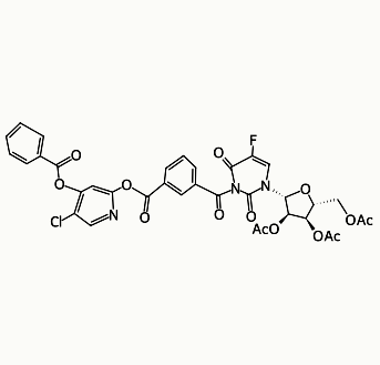 CC(=O)OC[C@H]1O[C@@H](n2cc(F)c(=O)n(C(=O)c3cccc(C(=O)Oc4cc(OC(=O)c5ccccc5)c(Cl)cn4)c3)c2=O)[C@H](OC(C)=O)[C@@H]1OC(C)=O